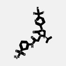 CC(C)[C@H]1CN(c2ccc(C(F)(F)F)nc2)C(=O)N1CC(=O)Nc1cccc(S(N)(=O)=O)c1